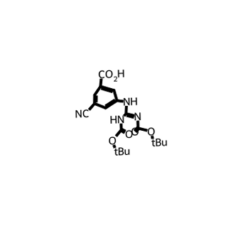 CC(C)(C)OC(=O)/N=C(\NC(=O)OC(C)(C)C)Nc1cc(C#N)cc(C(=O)O)c1